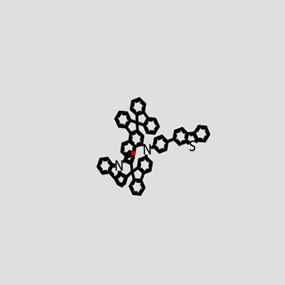 c1ccc2c(c1)-c1ccccc1C21c2ccccc2-c2c1cc(N(c1ccc(-c3ccc4c(c3)sc3ccccc34)cc1)c1ccc3c(c1)C1(c4ccccc4-3)c3ccccc3-n3c4ccccc4c4cccc1c43)c1ccccc21